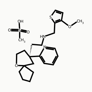 COc1ccsc1CNCC[C@@]1(c2ccccn2)CCOC2(CCCC2)C1.CS(=O)(=O)O